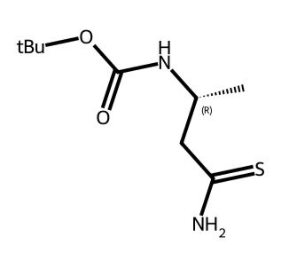 C[C@H](CC(N)=S)NC(=O)OC(C)(C)C